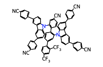 N#Cc1ccc(-c2ccc3c(c2)c2cc(-c4ccc(C#N)cc4)ccc2n3-c2cc(C#N)ccc2-c2ccc(-c3ccc(C(F)(F)F)cc3C(F)(F)F)cc2-n2c3ccc(-c4ccc(C#N)cc4)cc3c3cc(-c4ccc(C#N)cc4)ccc32)cc1